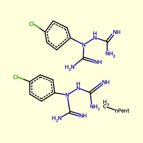 CCCCCC.N=C(N)NN(C(=N)N)c1ccc(Cl)cc1.N=C(N)NN(C(=N)N)c1ccc(Cl)cc1